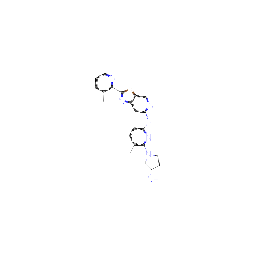 Cc1cccnc1-c1nc2cc(Nc3ccc(C)c(N4CC[C@@H](N)C4)n3)ncc2s1